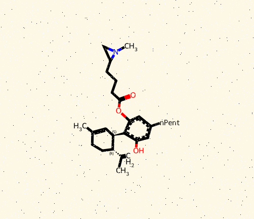 C=C(C)[C@@H]1CCC(C)=C[C@H]1c1c(O)cc(CCCCC)cc1OC(=O)CCCC1CN1C